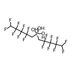 OP(O)(O)(CC(F)(F)C(F)(F)C(F)(F)C(F)F)CC(F)(F)C(F)(F)C(F)(F)C(F)F